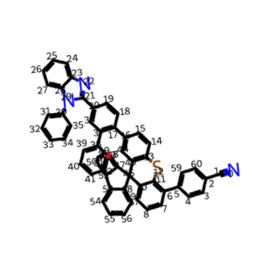 N#Cc1ccc(-c2cccc3c2Sc2ccc(-c4ccc(-c5nc6ccccc6n5-c5ccccc5)cc4-c4ccccc4)cc2C32c3ccccc3-c3ccccc32)cc1